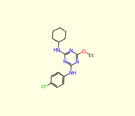 CCOc1nc(Nc2ccc(Cl)cc2)nc(NC2CCCCC2)n1